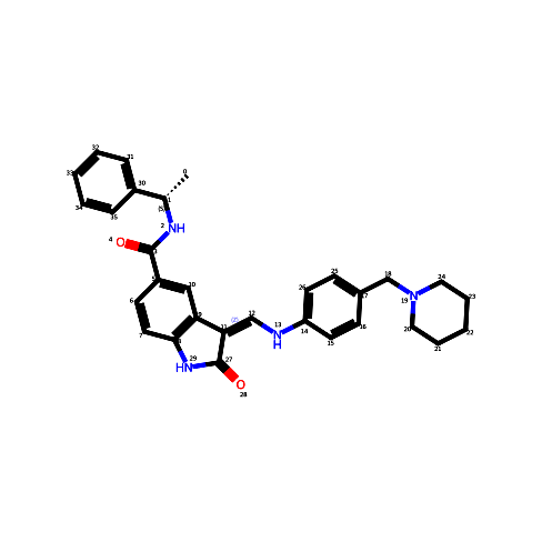 C[C@H](NC(=O)c1ccc2c(c1)/C(=C/Nc1ccc(CN3CCCCC3)cc1)C(=O)N2)c1ccccc1